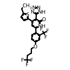 CCc1ccc(-c2cc(-c3ccc(OCCCC(F)(F)F)cc3C(F)(F)F)[nH]c(=O)c2-c2nnn[nH]2)s1